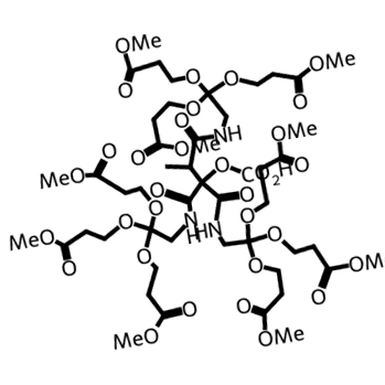 COC(=O)CCOC(CNC(=O)C(C)C(OC(=O)O)(C(=O)NCC(OCCC(=O)OC)(OCCC(=O)OC)OCCC(=O)OC)C(=O)NCC(OCCC(=O)OC)(OCCC(=O)OC)OCCC(=O)OC)(OCCC(=O)OC)OCCC(=O)OC